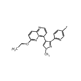 CCOc1ccc2nccc(-c3cn(C)nc3-c3ccc(F)cn3)c2n1